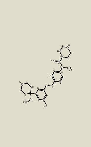 COC1(c2cc(F)cc(OCc3ccc(N(C)C(=O)N4CCOCC4)cc3)c2)CCOCC1